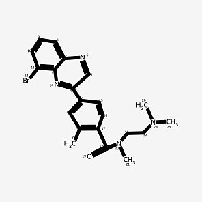 Cc1cc(-c2cnc3cccc(Br)c3n2)ccc1C(=O)N(C)CCN(C)C